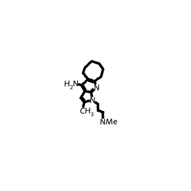 CNCCCn1c(C)cc2c(N)c3c(nc21)CCCCCC3